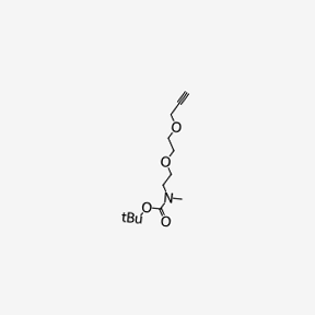 C#CCOCCOCCN(C)C(=O)OC(C)(C)C